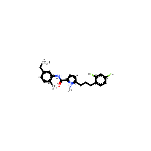 CC[C@H](C)n1c(CCCc2ccc(F)cc2F)ccc1C(=O)Nc1cc(CC(=O)O)ccc1C(F)(F)F